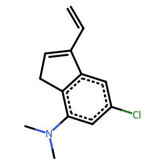 C=CC1=CCc2c1cc(Cl)cc2N(C)C